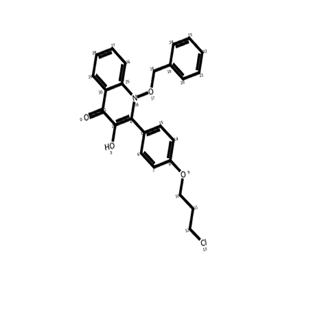 O=c1c(O)c(-c2ccc(OCCCCl)cc2)n(OCc2ccccc2)c2ccccc12